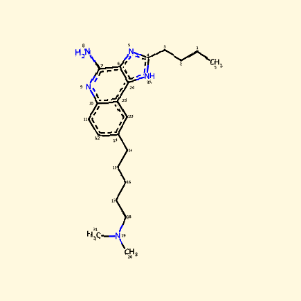 CCCCc1nc2c(N)nc3ccc(CCCCCN(C)C)cc3c2[nH]1